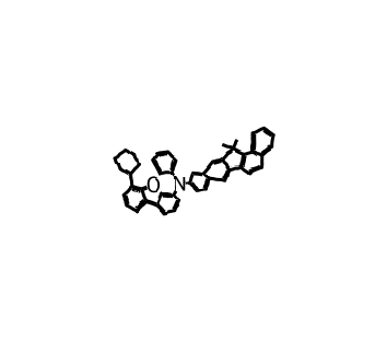 CC1(C)c2cc3cc(N(c4ccccc4)c4cccc5c4oc4c(C6CCCCC6)cccc45)ccc3cc2-c2ccc3ccccc3c21